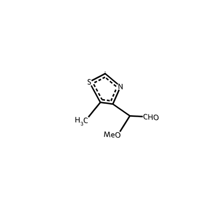 COC(C=O)c1n[c]sc1C